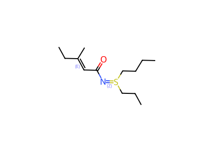 CCCC/S(CCC)=N\C(=O)/C=C(\C)CC